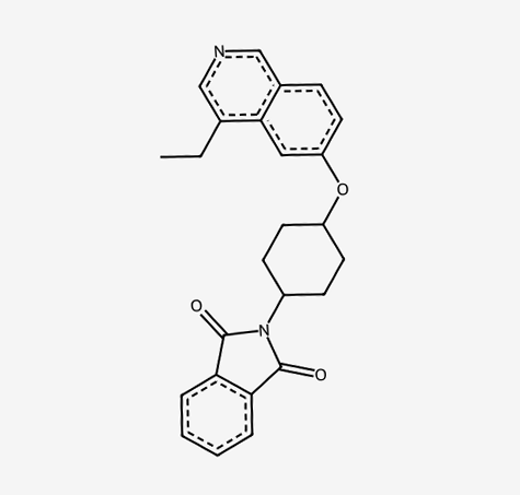 CCc1cncc2ccc(OC3CCC(N4C(=O)c5ccccc5C4=O)CC3)cc12